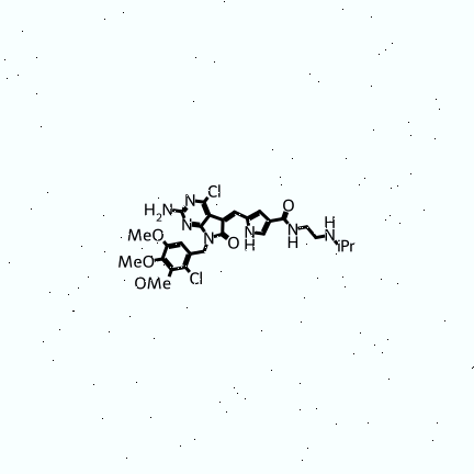 COc1cc(CN2C(=O)C(=Cc3cc(C(=O)NCCNC(C)C)c[nH]3)c3c(Cl)nc(N)nc32)c(Cl)c(OC)c1OC